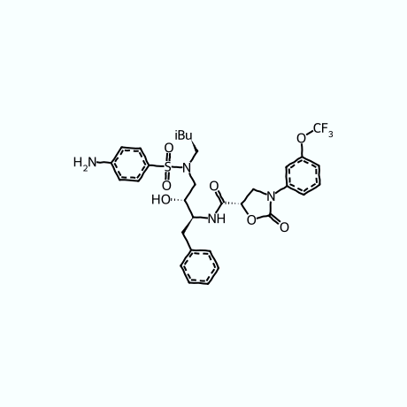 CC[C@H](C)CN(C[C@@H](O)[C@H](Cc1ccccc1)NC(=O)[C@@H]1CN(c2cccc(OC(F)(F)F)c2)C(=O)O1)S(=O)(=O)c1ccc(N)cc1